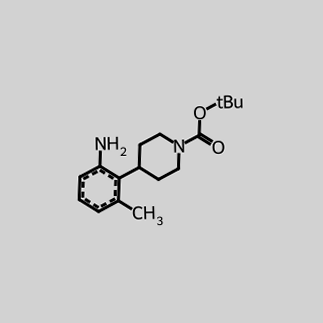 Cc1cccc(N)c1C1CCN(C(=O)OC(C)(C)C)CC1